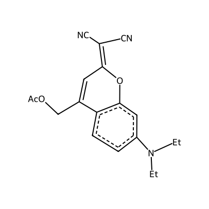 CCN(CC)c1ccc2c(c1)OC(=C(C#N)C#N)C=C2COC(C)=O